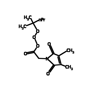 CCCC(C)(C)OOOC(=O)CN1C(=O)C(C)=C(C)C1=O